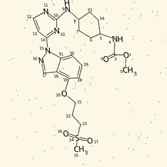 COC(=O)NC1CCC(Nc2nccc(-n3ncc4c(OCCCS(C)(=O)=O)cccc43)n2)CC1